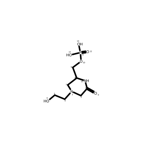 O=C1CN(CCO)CC(COP(=O)(O)O)N1